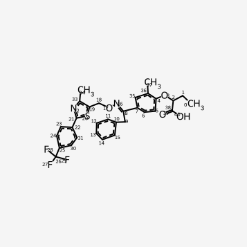 CCC(Oc1ccc(/C(Cc2ccccc2)=N/OCc2sc(-c3ccc(C(F)(F)F)cc3)nc2C)cc1C)C(=O)O